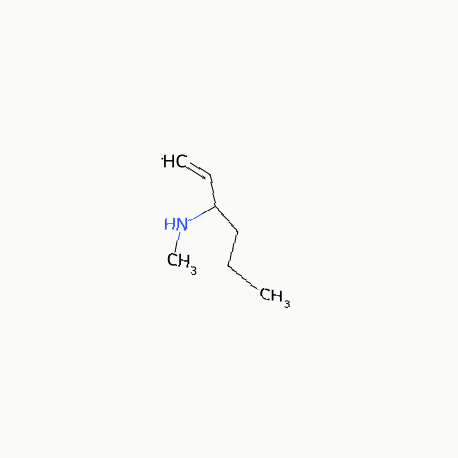 [CH]=CC(CCC)NC